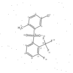 Cc1ccc(Cl)cc1S(=O)(=O)c1cccc(F)c1C(F)(F)F